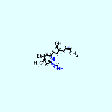 C#C/C(=C\C=C/C)CCC1=CC(CC)=C(C)C/C(=N/C=N)N1